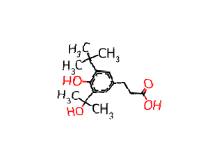 CC(C)(C)c1cc(CCC(=O)O)cc(C(C)(C)O)c1O